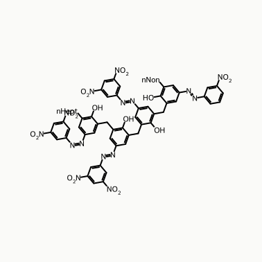 CCCCCCCCCc1cc(N=Nc2cccc([N+](=O)[O-])c2)cc(Cc2cc(N=Nc3cc([N+](=O)[O-])cc([N+](=O)[O-])c3)cc(Cc3cc(N=Nc4cc([N+](=O)[O-])cc([N+](=O)[O-])c4)cc(Cc4cc(N=Nc5cc([N+](=O)[O-])cc([N+](=O)[O-])c5)cc(CCCCCCC)c4O)c3O)c2O)c1O